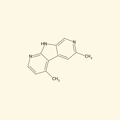 Cc1cc2c(cn1)[nH]c1nccc(C)c12